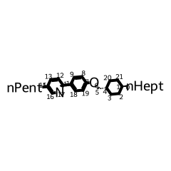 CCCCCCC[C@H]1CC[C@H](COc2ccc(-c3ccc(CCCCC)cn3)cc2)CC1